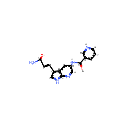 NC(=O)C=Cc1c[nH]c2ncc(NC(=O)c3cccnc3)cc12